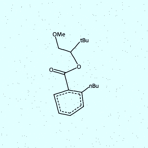 CCCCc1ccccc1C(=O)OC(COC)C(C)(C)C